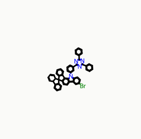 Brc1ccc2c(c1)c1ccc3c(c1n2-c1cccc(-c2nc(-c4ccccc4)nc(-c4ccccc4)n2)c1)-c1ccccc1C31c2ccccc2C2C=CC=CC21